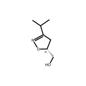 CC(C)C1=NO[C@@H](CO)C1